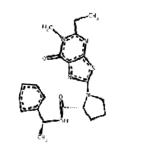 CCc1nc2sc(N3CCC[C@@H]3C(=O)N[C@@H](C)c3ccccc3)nc2c(=O)n1C